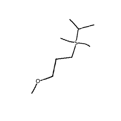 COCCCS(C)(C)C(C)C